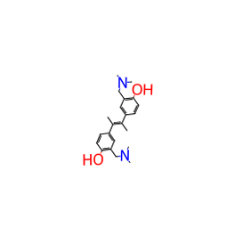 C/C(=C(/C)c1ccc(O)c(CN(C)C)c1)c1ccc(O)c(CN(C)C)c1